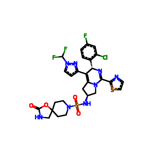 O=C1NCC2(CCN(S(=O)(=O)N[C@H]3CC4=C(c5ccn(C(F)F)n5)[C@H](c5ccc(F)cc5Cl)N=C(c5nccs5)N4C3)CC2)O1